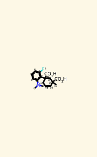 CN(C)c1cccc(F)c1C1(C(=O)O)CC=CC(C)(C(=O)O)C1